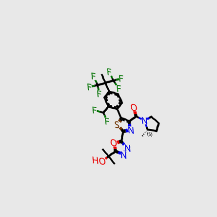 C[C@H]1CCCN1C(=O)c1nc(-c2nnc(C(C)(C)O)o2)sc1-c1ccc(C(C)(C(F)(F)F)C(F)(F)F)cc1C(F)F